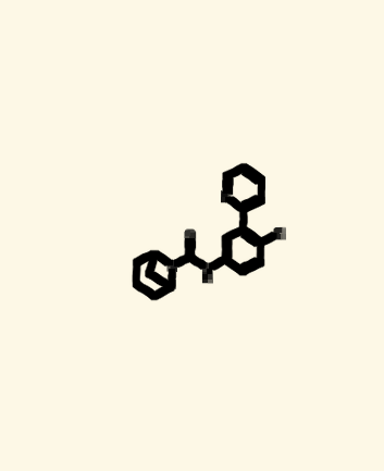 O=C(Nc1ccc(Cl)c(-c2ccccn2)c1)N1C2CCCC1C2